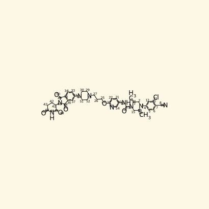 C[C@@H]1CN(c2ccc(C#N)c(Cl)c2)[C@@H](C)CN1C(=O)Nc1ccc(OCCCN2CCN(c3ccc4c(c3)C(=O)N(C3CCC(=O)NC3=O)C4=O)CC2)nc1